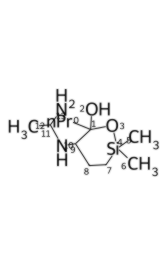 CCCC1(O)O[Si](C)(C)CCC1NC(C)N